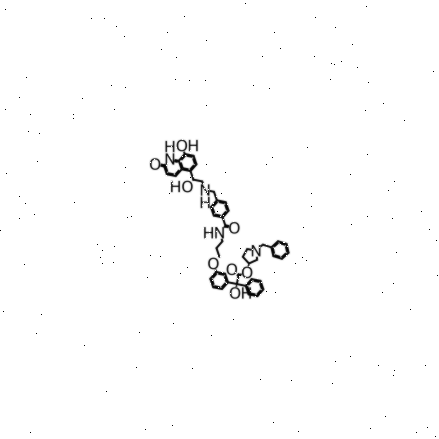 O=C(NCCCOc1cccc([C@](O)(C(=O)O[C@H]2CCN(Cc3ccccc3)C2)c2ccccc2)c1)c1ccc(CNC[C@H](O)c2ccc(O)c3[nH]c(=O)ccc23)cc1